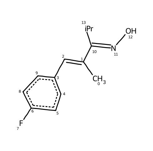 CC(=C\c1ccc(F)cc1)/C(=N/O)C(C)C